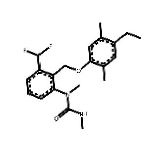 CCc1cc(C)c(OCc2c(C(F)F)cccc2N(C)C(=O)NC)cc1C